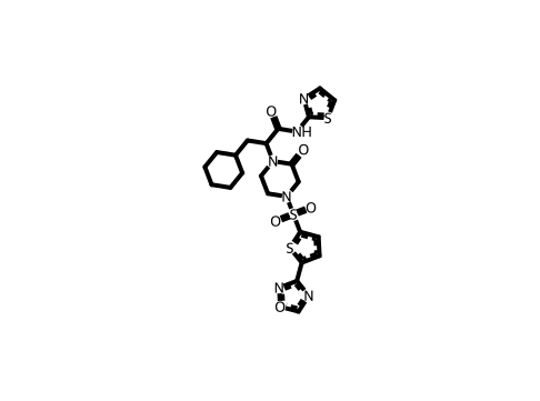 O=C(Nc1nccs1)C(CC1CCCCC1)N1CCN(S(=O)(=O)c2ccc(-c3ncon3)s2)CC1=O